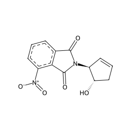 O=C1c2cccc([N+](=O)[O-])c2C(=O)N1[C@H]1C=CC[C@@H]1O